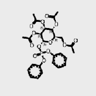 CC(=O)OC[C@H]1O[C@H](OP(=O)(Oc2ccccc2)Oc2ccccc2)[C@@H](OC(C)=O)[C@@H](OC(C)=O)[C@@H]1OC(C)=O